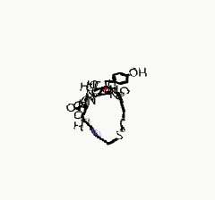 CC(C)[C@H]1NC(=O)C[C@H]2/C=C/CCSSCC(NC1=O)C(=O)N[C@H](Cc1ccc(O)cc1)C(=O)NCC(=O)O2